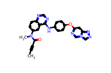 CC#CC(=O)N(C)c1ccc2ncnc(Nc3ccc(Oc4cc5nncn5cn4)cc3)c2c1